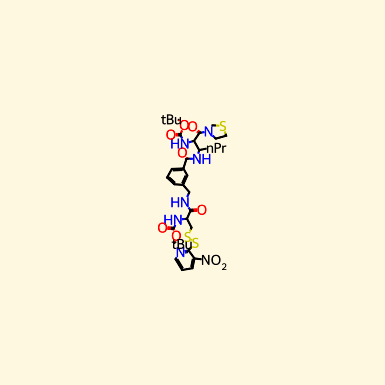 CCCC(NC(=O)c1cccc(CNC(=O)C(CSSc2ncccc2[N+](=O)[O-])NC(=O)OC(C)(C)C)c1)C(NC(=O)OC(C)(C)C)C(=O)N1CCSC1